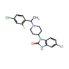 CC(c1ccc(Cl)cc1F)N1CCC(n2c(=O)[nH]c3cc(Cl)ccc32)CC1